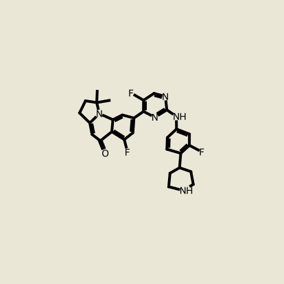 CC1(C)CCc2cc(=O)c3c(F)cc(-c4nc(Nc5ccc(C6CCNCC6)c(F)c5)ncc4F)cc3n21